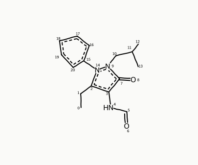 CCc1c(NC=O)c(=O)n(CC(C)C)n1-c1ccccc1